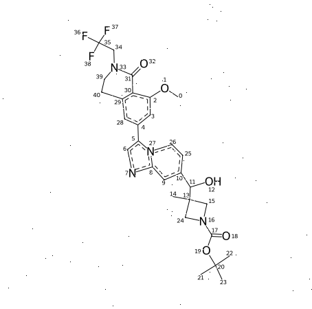 COc1cc(-c2cnc3cc(C(O)C4(C)CN(C(=O)OC(C)(C)C)C4)ccn23)cc2c1C(=O)N(CC(F)(F)F)CC2